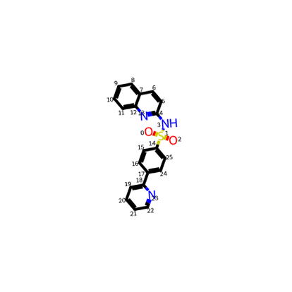 O=S(=O)(Nc1ccc2ccccc2n1)c1ccc(-c2ccccn2)cc1